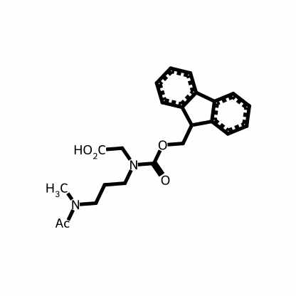 CC(=O)N(C)CCCN(CC(=O)O)C(=O)OCC1c2ccccc2-c2ccccc21